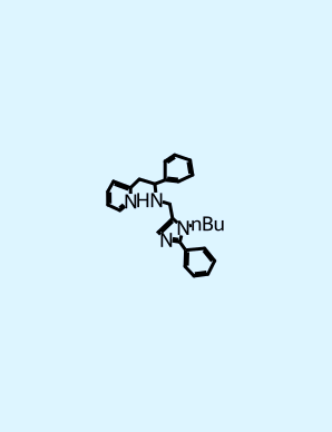 CCCCn1c(CNC(Cc2ccccn2)c2ccccc2)cnc1-c1ccccc1